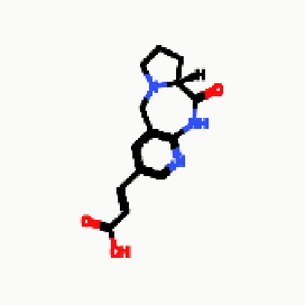 O=C(O)/C=C/c1cnc2c(c1)CN1CCC[C@@H]1C(=O)N2